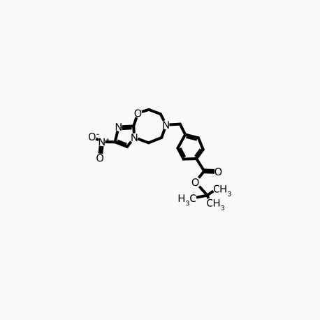 CC(C)(C)OC(=O)c1ccc(CN2CCOc3nc([N+](=O)[O-])cn3CC2)cc1